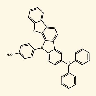 Cc1ccc(-n2c3ccc([SiH](c4ccccc4)c4ccccc4)cc3c3ccc4c5ccccc5oc4c32)cc1